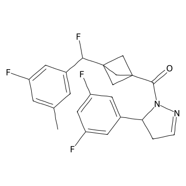 Cc1cc(F)cc(C(F)C23CC(C(=O)N4N=CCC4c4cc(F)cc(F)c4)(C2)C3)c1